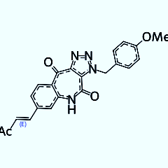 COc1ccc(Cn2nnc3c(=O)c4ccc(/C=C/C(C)=O)cc4[nH]c(=O)c32)cc1